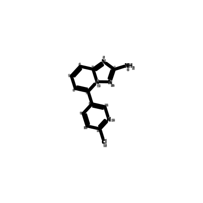 Nc1nc2cccc(-c3ccc(Cl)nc3)n2n1